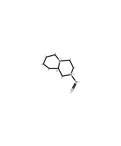 O=NN1CCN2CCCCC2C1